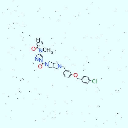 CC(=O)N(C)c1cnn(C(=O)N2CC3CN(Cc4cccc(OCc5ccc(Cl)cc5)c4)CC3C2)c1